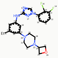 CCc1cc(Nc2ncn(-c3cccc(F)c3F)n2)cc(N2CCN(C3COC3)CC2)c1